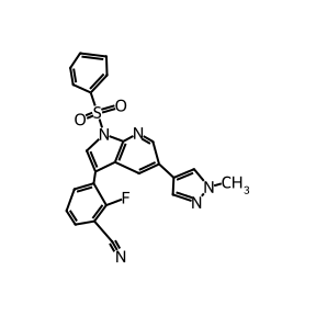 Cn1cc(-c2cnc3c(c2)c(-c2cccc(C#N)c2F)cn3S(=O)(=O)c2ccccc2)cn1